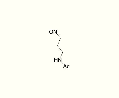 CC(=O)NCCCN=O